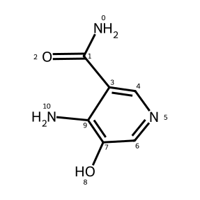 NC(=O)c1cncc(O)c1N